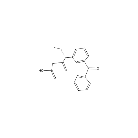 CC[C@@H](C(=O)CC(=O)O)c1cccc(C(=O)c2ccccc2)c1